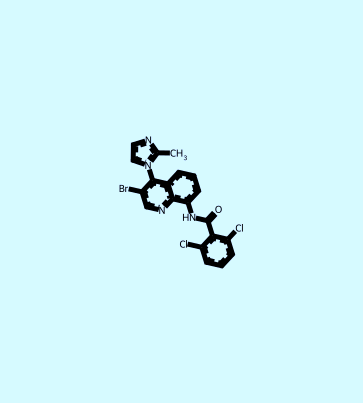 Cc1nccn1-c1c(Br)cnc2c(NC(=O)c3c(Cl)cccc3Cl)cccc12